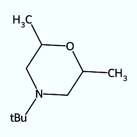 [CH2]C(C)(C)N1CC(C)OC(C)C1